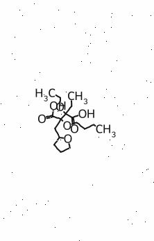 CCCCOC(CC1CCCO1)(C(=O)O)C(CC)(OCC)C(=O)O